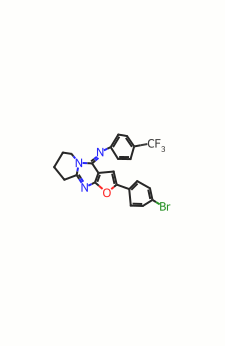 FC(F)(F)c1ccc(/N=c2\c3cc(-c4ccc(Br)cc4)oc3nc3n2CCCC3)cc1